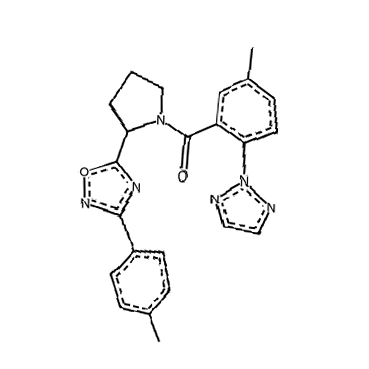 Cc1ccc(-c2noc(C3CCCN3C(=O)c3cc(C)ccc3-n3nccn3)n2)cc1